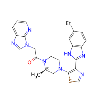 CCc1ccc2nc(-c3ncsc3N3CCN(C(=O)Cn4cnc5cccnc54)[C@H](C)C3)[nH]c2c1